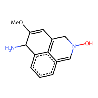 COC1=CC2=c3c(cccc3=CN(O)C2)C1N